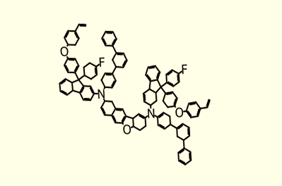 C=CC1=CCC(Oc2ccc(C3(C4CC=C(F)CC4)c4cc(N(C5C=CC(C6C=CC=C(c7ccccc7)C6)=CC5)C5C=Cc6cc7c(cc6C5)C5C=C(N(C6=CCC(C8=CC=CC(c9ccccc9)C8)C=C6)C6C=CC8c9ccccc9C(C9=CC=C(Oc%10ccc(C=C)cc%10)CC9)(c9ccc(F)cc9)C8C6)CCC5O7)ccc4C4C=CC=CC43)cc2)C=C1